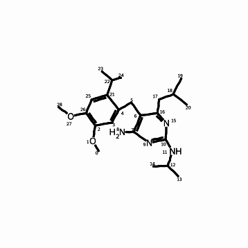 COc1cc(Cc2c(N)nc(NC(C)C)nc2CC(C)C)c(C(C)C)cc1OC